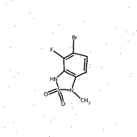 CN1c2ccc(Br)c(F)c2NS1(=O)=O